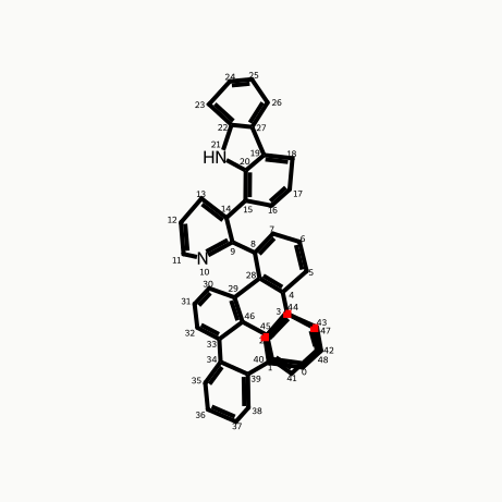 c1ccc(-c2cccc(-c3ncccc3-c3cccc4c3[nH]c3ccccc34)c2-c2cccc3c4ccccc4c4ccccc4c23)cc1